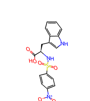 O=C(O)[C@@H](Cc1c[nH]c2ccccc12)NS(=O)(=O)c1ccc([N+](=O)[O-])cc1